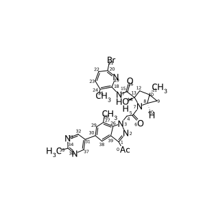 CC(=O)c1nn(CC(=O)N2[C@@H]3C[C@]3(C)C[C@@]2(O)C(=O)Nc2nc(Br)ccc2C)c2c(C)cc(-c3cnc(C)nc3)cc12